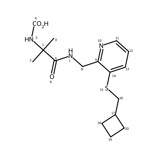 CC(C)(NC(=O)O)C(=O)NCc1ncccc1SCC1CCC1